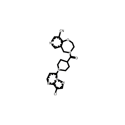 N#Cc1cncc2c1OCCN(C(=O)C1CCN(c3ccnc4c(Cl)cnn34)CC1)C2